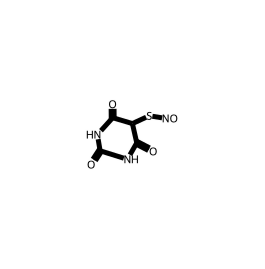 O=NSC1C(=O)NC(=O)NC1=O